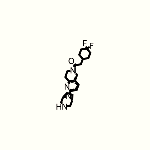 O=C(CC1CCC(F)(F)CC1)N1CCc2nc(N3C4CCC3CNC4)ccc2C1